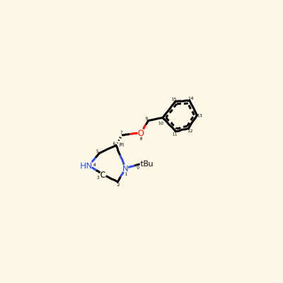 CC(C)(C)N1CCNC[C@@H]1COCc1ccccc1